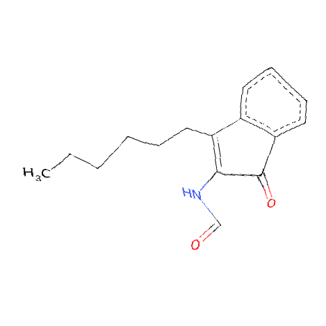 CCCCCCC1=C(NC=O)C(=O)c2ccccc21